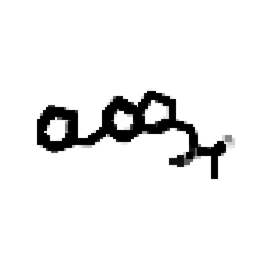 CC(=O)N(O)CC1=Cc2cc(Cc3ccccc3)ccc2CC1